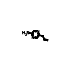 C=CCc1cnc(N)cn1